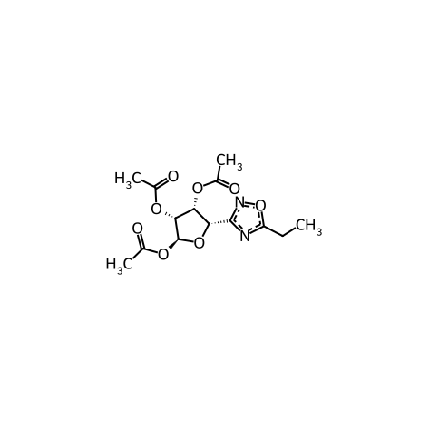 CCc1nc([C@@H]2O[C@@H](OC(C)=O)[C@H](OC(C)=O)[C@@H]2OC(C)=O)no1